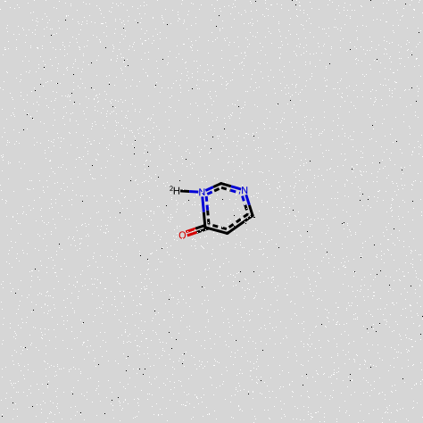 [2H]n1cnccc1=O